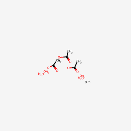 CC(=O)[O-].CC(=O)[O-].CC(=O)[O-].O.O.O.O.[Bi+3]